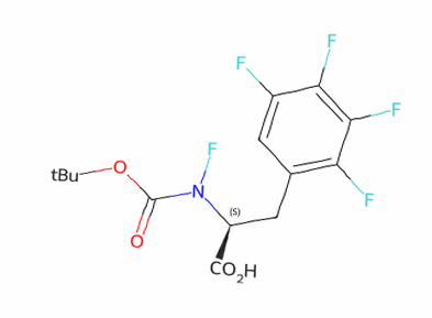 CC(C)(C)OC(=O)N(F)[C@@H](Cc1cc(F)c(F)c(F)c1F)C(=O)O